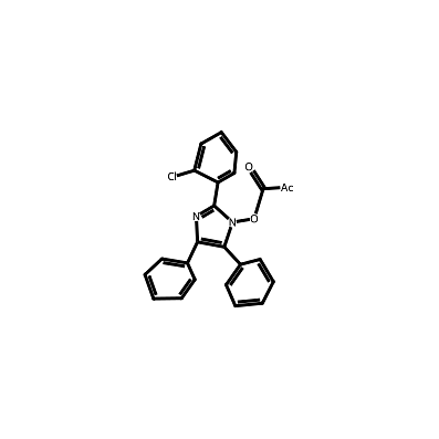 CC(=O)C(=O)On1c(-c2ccccc2Cl)nc(-c2ccccc2)c1-c1ccccc1